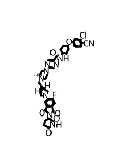 C[C@@H]1CN(c2cnc(C(=O)NC3CCC(Oc4ccc(C#N)c(Cl)c4)CC3)cn2)CCN1CC1[C@H]2CN(c3cc4c(cc3F)C(=O)N(C3CCC(=O)NC3=O)C4=O)C[C@@H]12